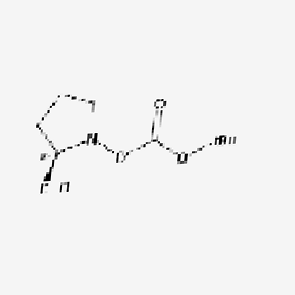 CC(C)(C)OC(=O)ON1CCC[C@@H]1C=O